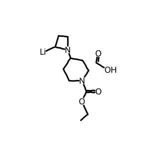 O=CO.[Li][CH]1CCN1C1CCN(C(=O)OCC)CC1